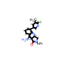 CCCN1Cc2nc3c(-c4cnc(F)c(C)c4)cccc3c(N)c2C1=O